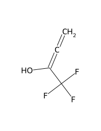 C=C=C(O)C(F)(F)F